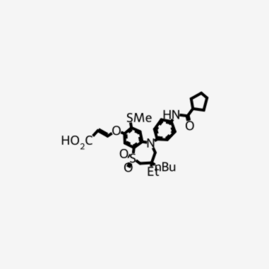 CCCCC1(CC)CN(c2ccc(NC(=O)C3CCCC3)cc2)c2cc(SC)c(O/C=C/C(=O)O)cc2S(=O)(=O)C1